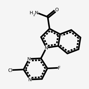 NC(=O)c1cn(-c2nc(Cl)ncc2F)c2ccccc12